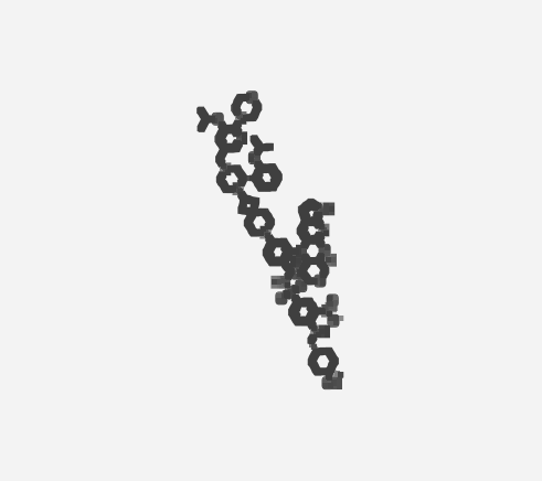 CC(C)Oc1ccccc1[C@H]1CN(Cc2cnc(N3CCOCC3)c(OC(C)C)c2)CCN1C1CC2(CCN(c3ccc(C(=O)NS(=O)(=O)c4ccc(NC[C@H]5CC[C@](C)(O)CC5)c([N+](=O)[O-])c4)c(N4c5cc6cc[nH]c6nc5O[C@H]5COCC[C@@H]54)c3)CC2)C1